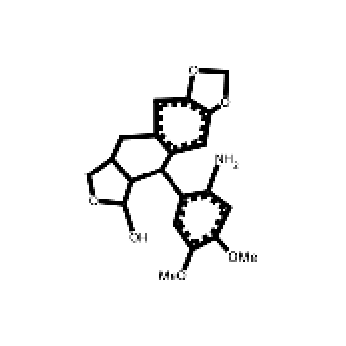 COc1cc(N)c(C2c3cc4c(cc3CC3COC(O)C32)OCO4)cc1OC